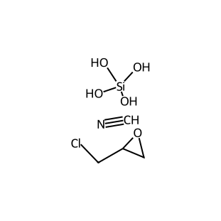 C#N.ClCC1CO1.O[Si](O)(O)O